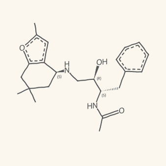 CC(=O)N[C@@H](Cc1ccccc1)[C@H](O)CN[C@H]1CC(C)(C)Cc2oc(C)cc21